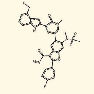 CNC(=O)c1c(-c2ccc(F)cc2)oc2cc(N(C)S(C)(=O)=O)c(-c3cn(C)c(=O)c(-c4cc5c(CF)cccc5[nH]4)n3)cc12